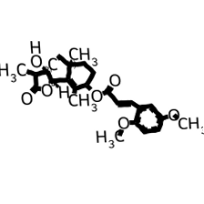 COc1ccc(OC)c(C=CC(=O)OC2CC[C@]3(C)CC[C@@]4(O)C(C)C(=O)O[C@H]4C3=C2C)c1